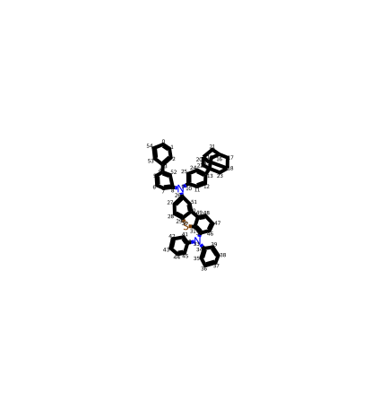 c1ccc(-c2cccc(N(c3ccc(C45CC6CC(CC(C6)C4)C5)cc3)c3ccc4sc5c(N(c6ccccc6)c6ccccc6)cccc5c4c3)c2)cc1